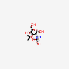 [CH2]C(C)O[C@H]1[C@H](O)[C@@H](CO)O[C@H](O)[C@@H]1NC(=O)CO